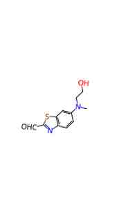 CN(CCO)c1ccc2nc(C=O)sc2c1